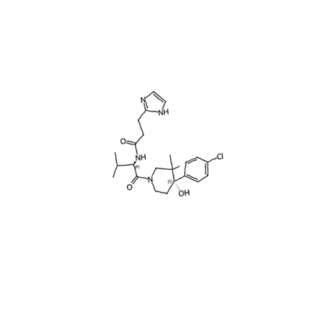 CC(C)[C@@H](NC(=O)CCc1ncc[nH]1)C(=O)N1CC[C@](O)(c2ccc(Cl)cc2)C(C)(C)C1